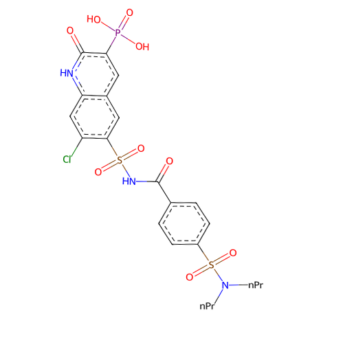 CCCN(CCC)S(=O)(=O)c1ccc(C(=O)NS(=O)(=O)c2cc3cc(P(=O)(O)O)c(=O)[nH]c3cc2Cl)cc1